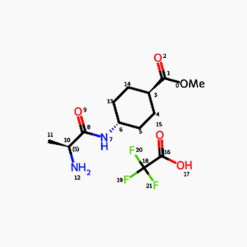 COC(=O)[C@H]1CC[C@H](NC(=O)[C@H](C)N)CC1.O=C(O)C(F)(F)F